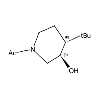 CC(=O)N1CC[C@H](C(C)(C)C)[C@@H](O)C1